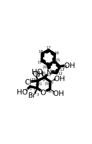 OC[C@@]1(Br)O[C@@H](O)[C@@H](O)[C@](O)(n2cc(O)c3ccccc32)[C@@]1(O)Cl